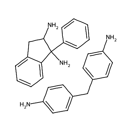 NC1Cc2ccccc2C1(N)c1ccccc1.Nc1ccc(Cc2ccc(N)cc2)cc1